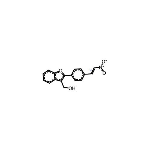 O=[N+]([O-])/C=C/c1ccc(-c2oc3ccccc3c2CO)cc1